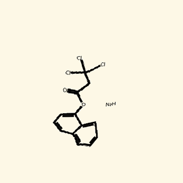 O=C(CC(Cl)(Cl)Cl)Oc1cccc2ccccc12.[NaH]